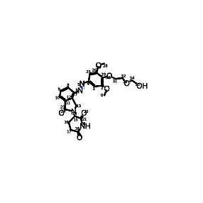 COc1cc(/N=N/c2cccc3c2CN(C2CCC(=O)NC2=O)C3=O)cc(OC)c1OCCOCO